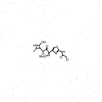 CON=C(C(=O)NC1C(O)NC1F)c1csc(NC(=O)CCl)n1